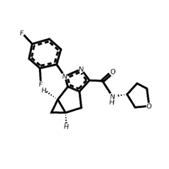 O=C(N[C@@H]1CCOC1)c1nn(-c2ccc(F)cc2F)c2c1C[C@H]1C[C@@H]21